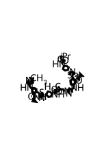 CC(C)OC(=O)N[C@H]1CC[C@H](c2ncc(-c3ccc(Nc4cnn(CCC(C)OC(=O)N[C@H]5CC[C@H](c6ncc(-c7ccc(Nc8cnn(C)c8)cc7S(=N)(=O)C7CC7)s6)CC5)c4)cc3S(=O)(=O)C3CC3)s2)CC1